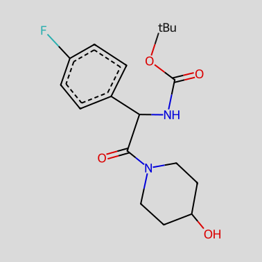 CC(C)(C)OC(=O)NC(C(=O)N1CCC(O)CC1)c1ccc(F)cc1